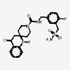 NS(=O)(=O)Cc1cc(CNC(=O)N2CCC3(CC2)CC(=O)c2ccccc2N3F)ccc1F